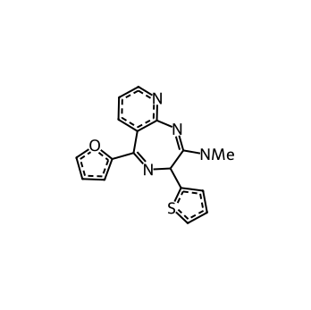 CNC1=Nc2ncccc2C(c2ccco2)=NC1c1cccs1